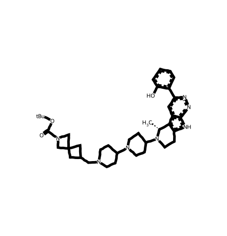 C[C@@H]1c2c([nH]c3nnc(-c4ccccc4O)cc23)CCN1C1CCN(C2CCN(CC3CC4(C3)CN(C(=O)OC(C)(C)C)C4)CC2)CC1